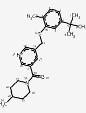 Cc1ccc(C(C)(C)C)cc1SCc1cncc(C(=O)N2CCC(C)CC2)c1